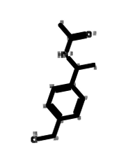 CC(=O)NC(C)c1ccc(CCl)cc1